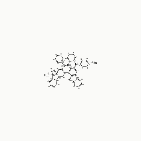 CCCCc1ccc(N2c3ccccc3B3c4c2cc2c(oc5ccccc52)c4-c2cc4c(cc2N3c2ccccc2)C(C)(C)c2ccccc2-4)cc1